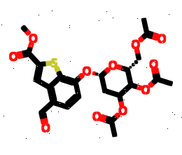 COC(=O)c1cc2c(C=O)ccc(O[C@H]3CC(OC(C)=O)C(OC(C)=O)[C@@H](COC(C)=O)O3)c2s1